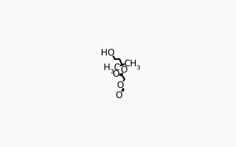 CC(C)(CCO)OC(=O)COC=O